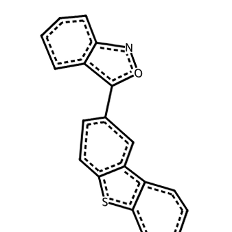 c1ccc2c(-c3ccc4sc5ccccc5c4c3)onc2c1